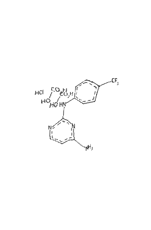 Cl.Nc1ccnc(Nc2ccc(C(F)(F)F)cc2)n1.O=C(O)O.O=C(O)O